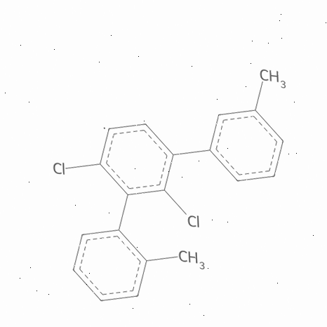 Cc1cccc(-c2c[c]c(Cl)c(-c3ccccc3C)c2Cl)c1